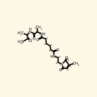 BC(=O)C(C)NC(=O)C(C)NC(=O)CCCCC(=O)NCCN1C(=O)C=C(C)C1=O